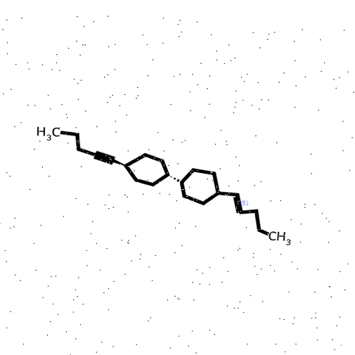 CCCC#C[C@H]1CC[C@H](C2CCC(/C=C/CCC)CC2)CC1